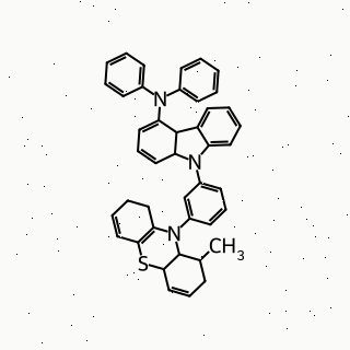 CC1CC=CC2SC3=C(CCC=C3)N(c3cccc(N4c5ccccc5C5C(N(c6ccccc6)c6ccccc6)=CC=CC54)c3)C12